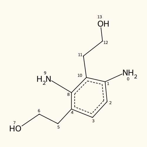 Nc1ccc(CCO)c(N)c1CCO